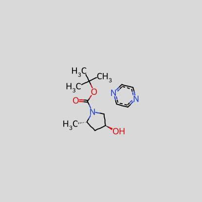 C[C@H]1C[C@H](O)CN1C(=O)OC(C)(C)C.c1cnccn1